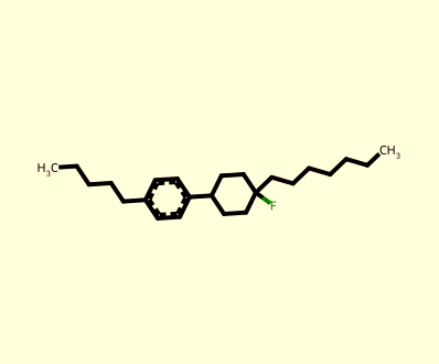 CCCCCCCC1(F)CCC(c2ccc(CCCCC)cc2)CC1